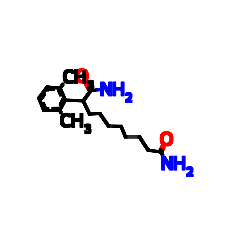 Cc1cccc(C)c1C(CCCCCCCC(N)=O)C(N)=O